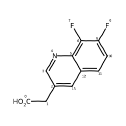 O=C(O)Cc1cnc2c(F)c(F)ccc2c1